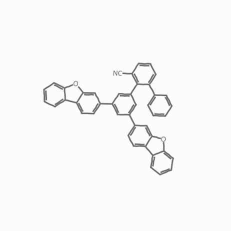 N#Cc1cccc(-c2ccccc2)c1-c1cc(-c2ccc3c(c2)oc2ccccc23)cc(-c2ccc3c(c2)oc2ccccc23)c1